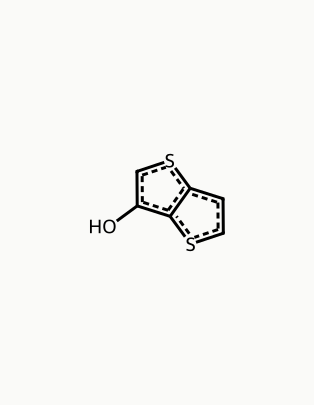 Oc1csc2ccsc12